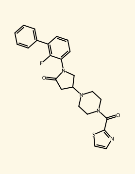 O=C(c1nccs1)N1CCN(C2CC(=O)N(c3cccc(-c4ccccc4)c3F)C2)CC1